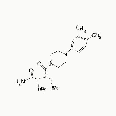 CCC[C@H](C(N)=O)[C@@H](CC(C)C)C(=O)N1CCN(c2ccc(C)c(C)c2)CC1